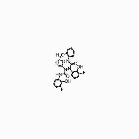 Cc1ccccc1NC(=O)N(c1cccc(F)c1O)N(C(=O)Nc1cccc(F)c1O)C1=COCO1